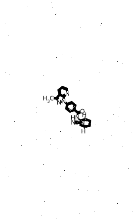 Cc1nn(-c2ccc(C(=O)N[C@@H]3C[C@@H]4CC[C@H]3N4C#N)cc2)c2ncccc12